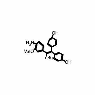 CCCCC(=C(c1ccc(O)cc1)c1ccc(O)cc1)c1ccc(N)c(OC)c1